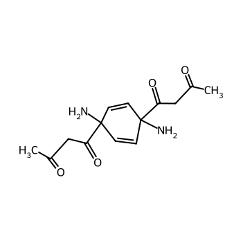 CC(=O)CC(=O)C1(N)C=CC(N)(C(=O)CC(C)=O)C=C1